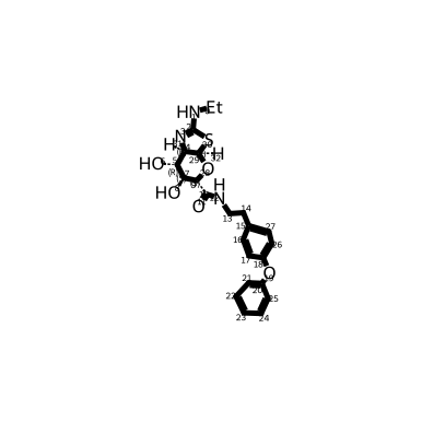 CCNC1=N[C@@H]2[C@@H](O)[C@H](O)[C@@H](C(=O)NCCc3ccc(Oc4ccccc4)cc3)O[C@@H]2S1